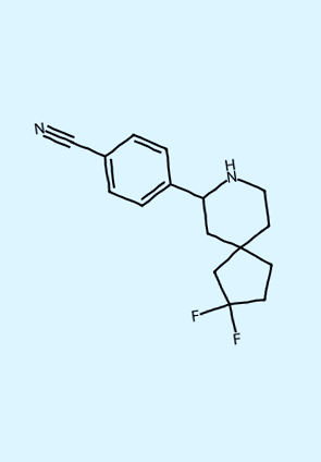 N#Cc1ccc(C2CC3(CCN2)CCC(F)(F)C3)cc1